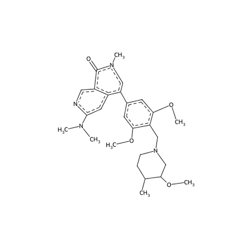 COc1cc(-c2cn(C)c(=O)c3cnc(N(C)C)cc23)cc(OC)c1CN1CCC(C)C(OC)C1